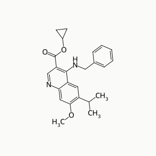 COc1cc2ncc(C(=O)OC3CC3)c(NCc3ccccc3)c2cc1C(C)C